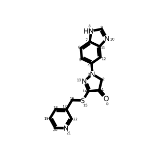 O=C1CN(c2ccc3[nH]cnc3c2)N=C1SCc1cccnc1